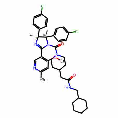 CCOc1cc(C(C)(C)C)ncc1C1=N[C@@](C)(c2ccc(Cl)cc2)[C@@](C)(c2ccc(Cl)cc2)N1C(=O)N1CCC(CC(=O)NCC2CCCCC2)CC1